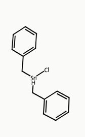 [Cl][SnH]([CH2]c1ccccc1)[CH2]c1ccccc1